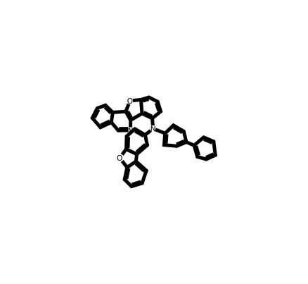 c1ccc(-c2ccc(N(c3ccc4oc5ccccc5c4c3)c3cccc4oc5c6ccccc6cnc5c34)cc2)cc1